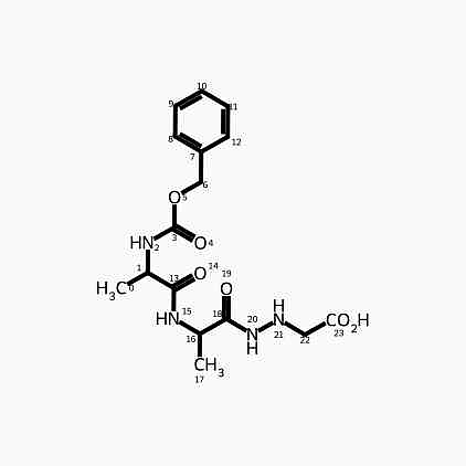 CC(NC(=O)OCc1ccccc1)C(=O)NC(C)C(=O)NNCC(=O)O